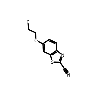 N#Cc1nc2ccc(OCCCl)cc2s1